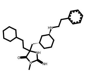 CN1C(=N)NC(CCC2CCCCC2)(C[C@H]2CCC[C@H](NCCc3ccccc3)C2)C1=O